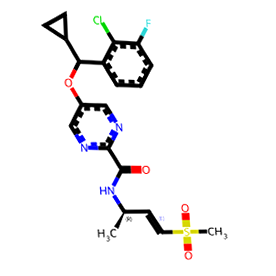 C[C@H](/C=C/S(C)(=O)=O)NC(=O)c1ncc(OC(c2cccc(F)c2Cl)C2CC2)cn1